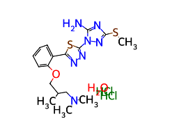 CSc1nc(N)n(-c2nnc(-c3ccccc3OCC(C)CN(C)C)s2)n1.Cl.Cl.O